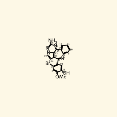 COc1cc(Br)c(C2=Nc3ccccc3-c3nc(N)nn4ccc2c34)cc1O